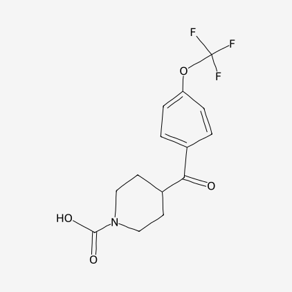 O=C(c1ccc(OC(F)(F)F)cc1)C1CCN(C(=O)O)CC1